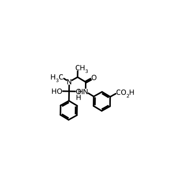 CC(C(=O)Nc1cccc(C(=O)O)c1)N(C)C(O)(O)c1ccccc1